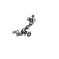 CC(C)(C)N(C(=O)O)c1sc(-c2ccccn2)cc1C(=O)N1CCC(N2CCCC3(CC(=O)N(C4CCC4)C3=O)C2)CC1